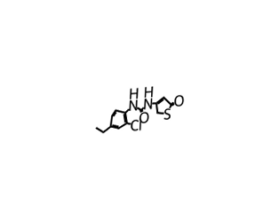 CCc1ccc(NC(=O)NC2=CC(=O)SC2)c(Cl)c1